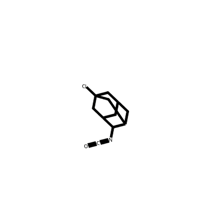 O=C=NC1C2CC3CC1CC(Cl)(C3)C2